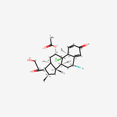 CCCC(=O)O[C@H]1C[C@@]2(C)[C@@H](C[C@@H](C)[C@@H]2C(=O)CO)[C@@H]2C[C@H](F)C3=CC(=O)C=C[C@]3(C)[C@@]12Cl